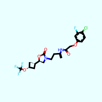 C=C(CCN1C[C@@H]([C@H]2C[C@@H](OC(F)(F)F)C2)OC1=O)NC(=O)COc1ccc(Cl)c(F)c1